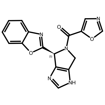 O=C(c1cnco1)N1Cc2[nH]cnc2[C@H]1c1nc2ccccc2o1